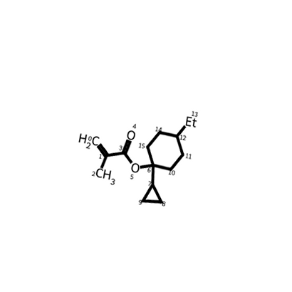 C=C(C)C(=O)OC1(C2CC2)CCC(CC)CC1